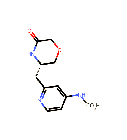 O=C(O)Nc1ccnc(C[C@H]2COCC(=O)N2)c1